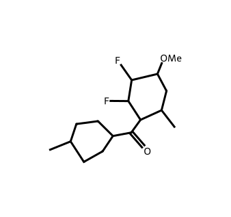 COC1CC(C)C(C(=O)C2CCC(C)CC2)C(F)C1F